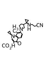 Cc1c(N2CCC(C3(NCCC#N)CC3)C2)ccc2c(=O)c(C(=O)O)cn(C3CC3)c12